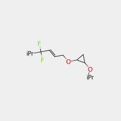 CC(C)OC1CC1OC/C=C/C(F)(F)C(C)C